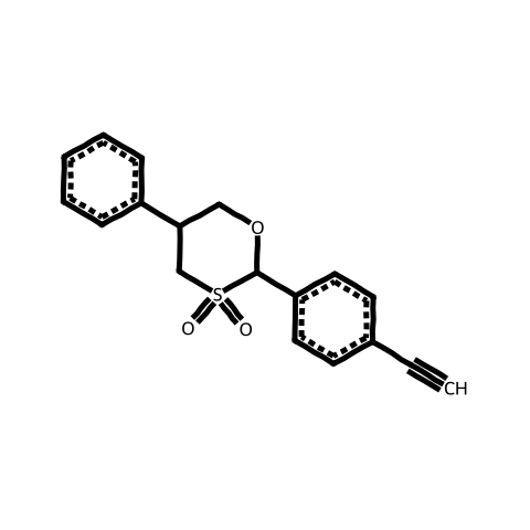 C#Cc1ccc(C2OCC(c3ccccc3)CS2(=O)=O)cc1